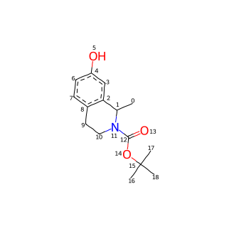 CC1c2cc(O)ccc2CCN1C(=O)OC(C)(C)C